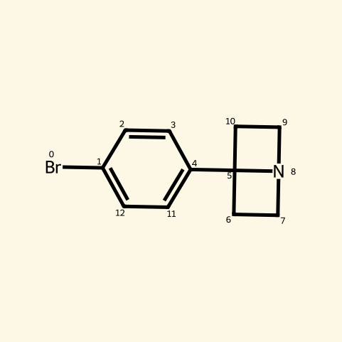 Brc1ccc(C23CCN2CC3)cc1